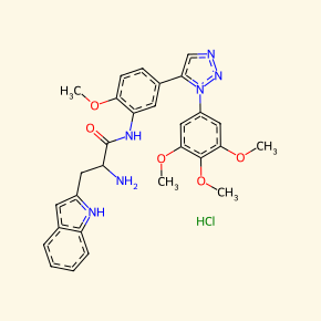 COc1ccc(-c2cnnn2-c2cc(OC)c(OC)c(OC)c2)cc1NC(=O)C(N)Cc1cc2ccccc2[nH]1.Cl